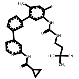 Cc1cc(F)c(NC(=O)NCCC(C)(C)C#N)cc1-c1cccc(-c2ccnc(NC(=O)C3CC3)c2)c1